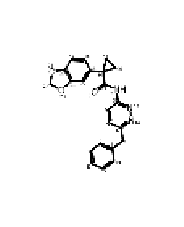 O=C(Nc1ccc(Cc2ccccc2)nn1)C1(c2ccc3c(c2)OCO3)CC1